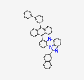 CN1c2c(-c3c4ccccc4c(-c4cccc(-c5ccccc5)c4)c4ccccc34)cccc2-n2c(-c3ccc4ccccc4c3)nc3cccc1c32